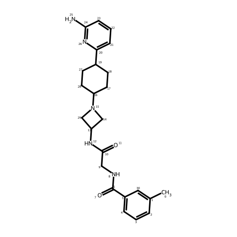 Cc1cccc(C(=O)NCC(=O)NC2CN(C3CCC(c4cccc(N)n4)CC3)C2)c1